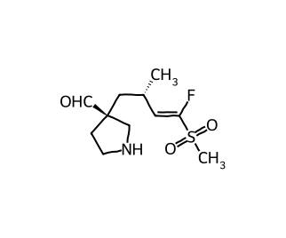 C[C@H](/C=C(\F)S(C)(=O)=O)C[C@@]1(C=O)CCNC1